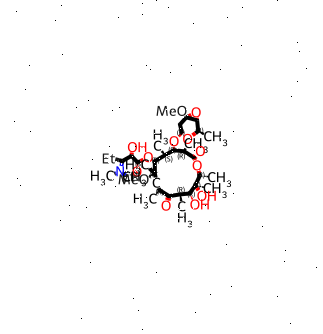 CCO[C@@H](O[C@@H]1[C@@H](C)[C@H](O[C@H]2CC3(OC)OC3[C@@H](C)O2)[C@@H](C)C(=O)O[C@H](C)[C@@](C)(O)[C@H](O)[C@@H](C)C(=O)[C@H](C)C[C@@]1(C)OC)C(O)C(CC)N(C)C